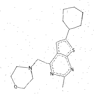 Cc1nc(CN2CCOCC2)c2cc(C3CCCCC3)sc2n1